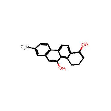 O=[N+]([O-])c1ccc2c(c1)cc(O)c1c3c(ccc12)C(O)CCC3